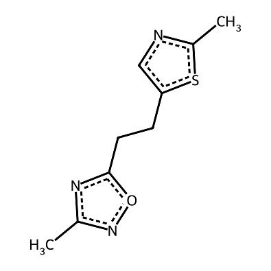 Cc1noc(CCc2cnc(C)s2)n1